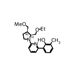 CCOC[C@@H]1[C@H](COC)CCN1c1cccc(-c2cccc(C)c2O)n1